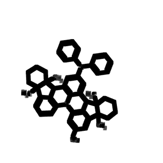 CC(C)(C)c1cc2c3c(c1)C1(C)CCCCC1(C)C3c1cc(N(c3ccccc3)c3ccccc3)cc3c1B2c1cccc2c1C3C1(C)CCCCC21C